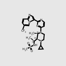 C[C@H](NS(C)(=O)=O)[C@H]1[C@@H](C)N(c2ccnc(-c3cnc4ccc(C(F)(F)F)cn34)n2)CCN1C1CC1